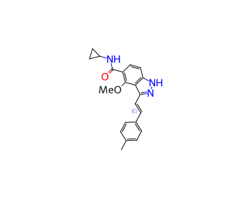 COc1c(C(=O)NC2CC2)ccc2[nH]nc(/C=C/c3ccc(C)cc3)c12